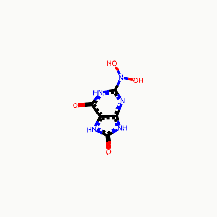 O=c1[nH]c2nc(N(O)O)[nH]c(=O)c2[nH]1